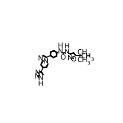 CC(C)(C)c1cc(NC(=O)Nc2ccc(-c3cnc4cc(-c5c[nH]nn5)ccn34)cc2)no1